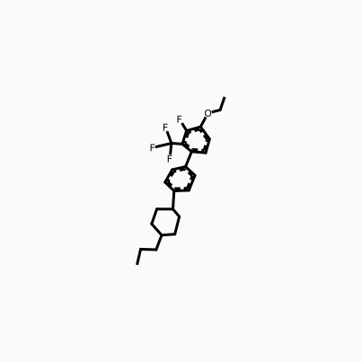 CCCC1CCC(c2ccc(-c3ccc(OCC)c(F)c3C(F)(F)F)cc2)CC1